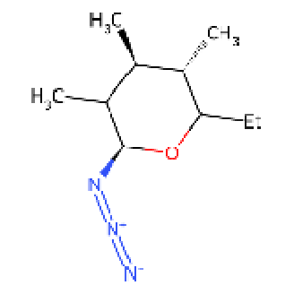 CCC1O[C@@H](N=[N+]=[N-])C(C)[C@@H](C)[C@@H]1C